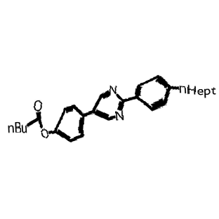 CCCCCCCc1ccc(-c2ncc(-c3ccc(OC(=O)CCCC)cc3)cn2)cc1